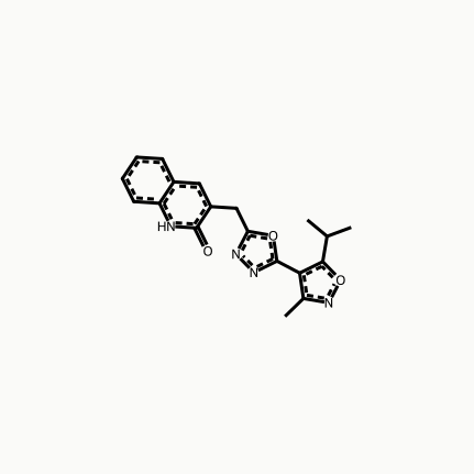 Cc1noc(C(C)C)c1-c1nnc(Cc2cc3ccccc3[nH]c2=O)o1